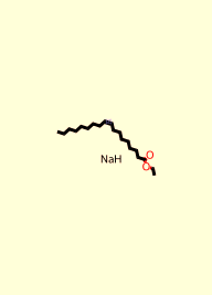 CCCCCCCC/C=C\CCCCCCCC(=O)OCC.[NaH]